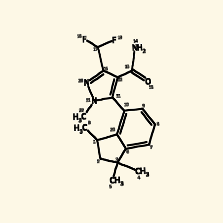 CC1CC(C)(C)c2cccc(-c3c(C(N)=O)c(C(F)F)nn3C)c21